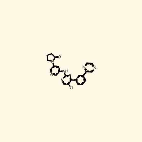 O=C1CCCN1c1cncc(Nc2ncc(Cl)c(-c3cccc(-c4cnccn4)c3)n2)c1